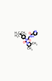 C[C@@H]1C[C@H](C)CN(C(=O)N(C(=O)CNC(=O)c2cccnc2)c2ccc(C(C)(C)C)cc2)C1